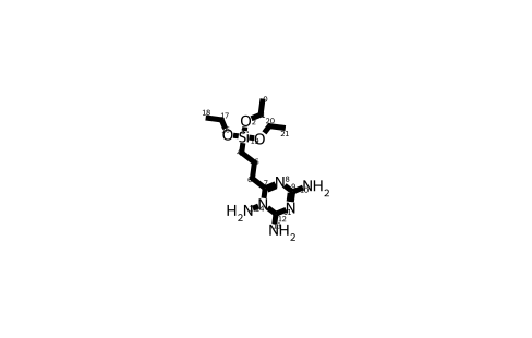 CCO[Si](CCCC1=NC(N)=NC(N)N1N)(OCC)OCC